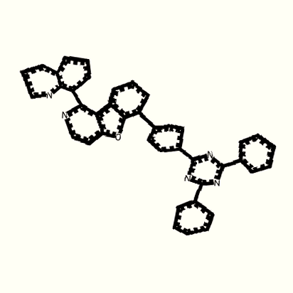 c1ccc(-c2nc(-c3ccccc3)nc(-c3ccc(-c4cccc5c4oc4ccnc(-c6cccc7cccnc67)c45)cc3)n2)cc1